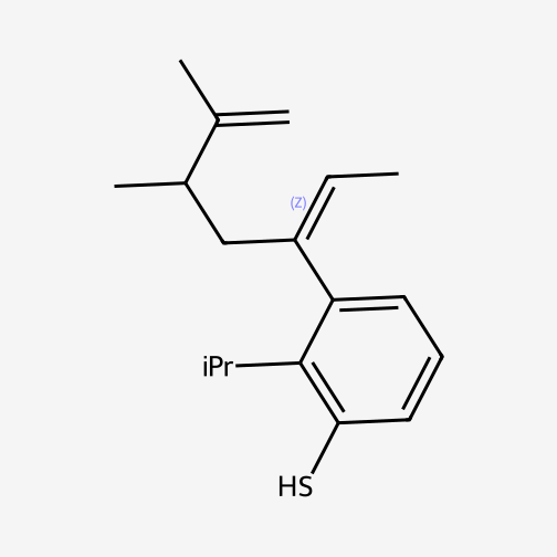 C=C(C)C(C)C/C(=C/C)c1cccc(S)c1C(C)C